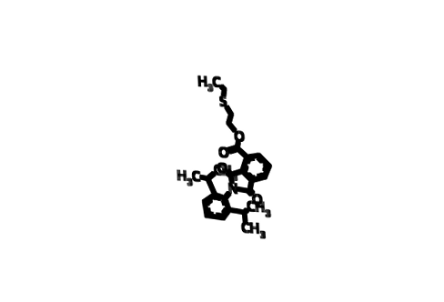 CCSCCOC(=O)c1cccc2c1C(=O)N(c1c(C(C)C)cccc1C(C)C)C2=O